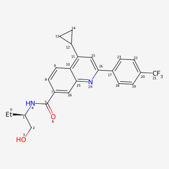 CC[C@H](CO)NC(=O)c1ccc2c(C3CC3)cc(-c3ccc(C(F)(F)F)cc3)nc2c1